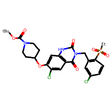 CCS(=O)(=O)c1ccc(Cl)cc1Cn1c(=O)[nH]c2cc(OC3CCN(C(=O)OC(C)(C)C)CC3)c(Cl)cc2c1=O